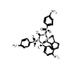 Cc1ccc(S(=O)(=O)N(C(=O)N(N2CC3CCCC3C2)S(=O)(=O)c2ccc([N+](=O)[O-])cc2)S(=O)(=O)c2ccc([N+](=O)[O-])cc2)cc1